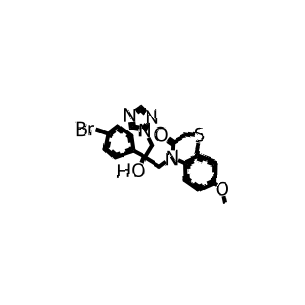 COc1ccc2c(c1)SCC(=O)N2CC(O)(Cn1cncn1)c1ccc(Br)cc1